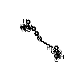 O=C1CCC(N2C(=O)c3cccc(NCCCCCCCCN4CCN(c5ccc(-c6ccc7c(c6)C(O)N(C(C(=O)Nc6nccs6)c6ccccc6)C7)cc5)CC4)c3C2=O)C(=O)N1